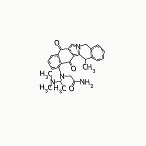 CC1c2ccccc2Cn2cc3c(c21)C(=O)c1c(cccc1N(CC(N)=O)C(C)N(C)C)C3=O